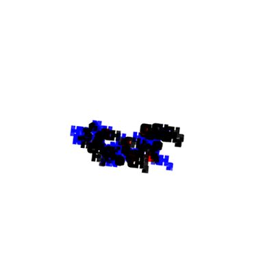 C=CC(=O)Nc1cc(Nc2nc(CN(C)CCN(C)c3cc(OC)c(Nc4nc(CN(C)CCN(C)c5cc(OC)c(Nc6nccc(-c7c[nH]c8c(C#N)cccc78)n6)cc5NC(=O)C=C)cc(-c5c(C)[nH]c6ccccc56)n4)cc3NC(=O)C=C)cc(-c3cn(CC(N)=O)c4ccccc34)n2)c(OC)cc1N(C)CCN(C)C